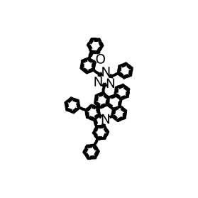 c1ccc(-c2ccc3c(c2)c2cc(-c4ccccc4)ccc2n3-c2cccc3c4ccccc4c4c(-c5nc(-c6ccccc6)nc(-c6cccc7c6oc6ccccc67)n5)cccc4c23)cc1